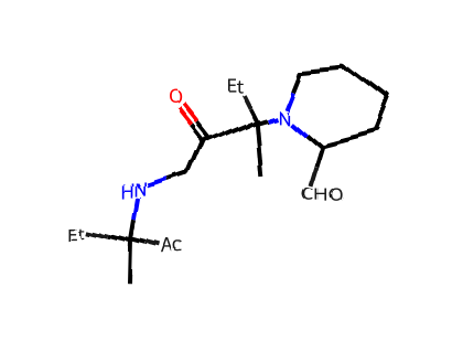 CCC(C)(NCC(=O)C(C)(CC)N1CCCCC1C=O)C(C)=O